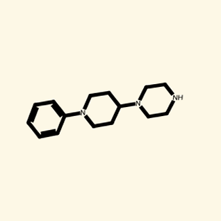 c1ccc(N2CCC(N3CCNCC3)CC2)cc1